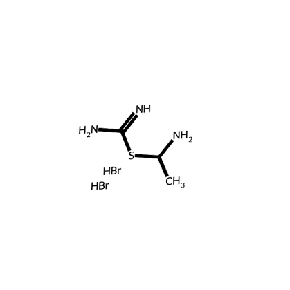 Br.Br.CC(N)SC(=N)N